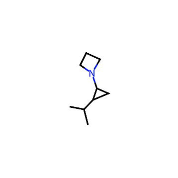 CC(C)C1CC1N1CCC1